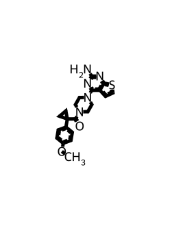 COc1ccc(C2(C(=O)N3CCN(c4nc(N)nc5sccc45)CC3)CC2)cc1